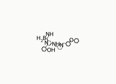 B/C(C=N)=C1/CC(NCC2CCCN(Cc3cccc(Oc4ccccc4)c3)C2)=CC(c2ccccc2O)=N1